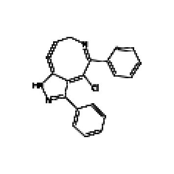 ClC1=c2\c(-c3ccccc3)n[nH]c2=C=CC/N=C\1c1ccccc1